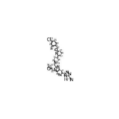 N#Cc1nnc(-c2cc3nc(CN4CCC(c5cccc(OCc6ccc(Cl)cc6F)n5)CC4)n(C[C@@H]4CCO4)c3cn2)[nH]1